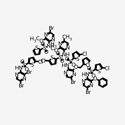 COc1nc(Br)cnc1NS(=O)(=O)c1cccs1.COc1nc(C)cnc1NS(=O)(=O)c1ccc(Cl)s1.O=S(=O)(Nc1ncc(Br)nc1Br)c1ccc(Cl)s1.O=S(=O)(Nc1ncc(Br)nc1OCc1ccco1)c1ccc(Cl)s1.O=S(=O)(Nc1ncc(Br)nc1Oc1ccccc1)c1ccc(Cl)s1